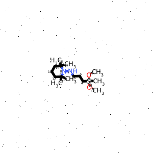 CO[Si](C)(CCCNN1C(C)(C)CCCC1(C)C)OC